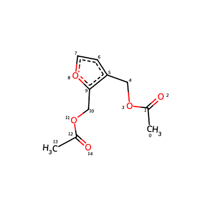 CC(=O)OCc1ccoc1COC(C)=O